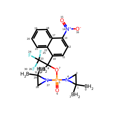 BC1(B)CN1P(=O)(OC(B)(c1ccc([N+](=O)[O-])c2ccccc12)C(F)(F)F)N1CC1(B)B